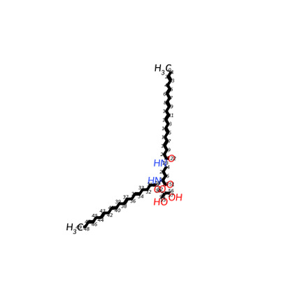 CCC=CCC=CCC=CCC=CCC=CCC=CCCC(=O)NCCCC(NC(=O)CCCC=CCC=CCC=CCC=CCC=CCC)C(=O)OC(CO)CO